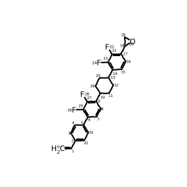 C=Cc1ccc(-c2ccc(C3CCC(c4ccc(C5CO5)c(F)c4F)CC3)c(F)c2F)cc1